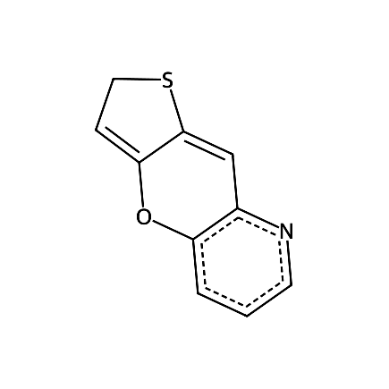 C1=C2Oc3cccnc3C=C2SC1